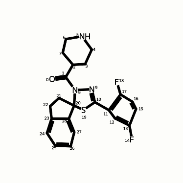 O=C(C1CCNCC1)N1N=C(c2cc(F)ccc2F)SC12CCc1ccccc12